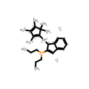 CCCP(CCC)C1=Cc2ccccc2[CH]1[Hf+2][C]1=C(C)C(C)=C(C)C1(C)C.[Cl-].[Cl-]